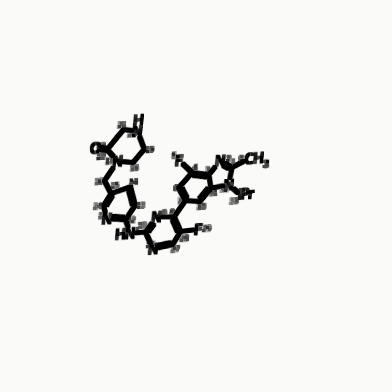 Cc1nc2c(F)cc(-c3nc(Nc4ccc(CN5CCNCC5=O)cn4)ncc3F)cc2n1C(C)C